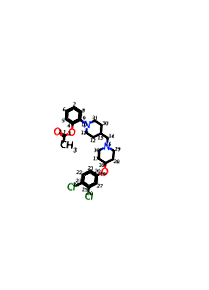 CC(=O)Oc1ccccc1N1CCC(CN2CCC(Oc3ccc(Cl)c(Cl)c3)CC2)CC1